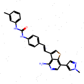 Cc1cccc(NC(=O)Nc2ccc(/C=C/c3csc4c(-c5cnn(C)c5)cnc(N)c34)cc2)c1